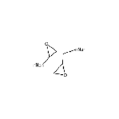 CCCCCCCCCC1CO1.CCCCCCCCCCC1CO1